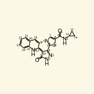 O=C1NN=C(c2ncc(C(=O)NC3CC3)s2)/C1=C1\C=Cc2ccccc2N1